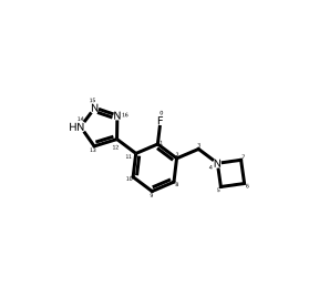 Fc1c(CN2CCC2)cccc1-c1c[nH]nn1